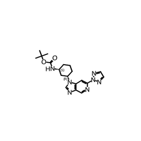 CC(C)(C)OC(=O)N[C@H]1CCC[C@@H](n2cnc3cnc(-n4nccn4)cc32)C1